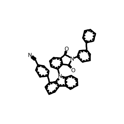 N#Cc1ccc(-c2cccc3c4ccccc4n(-c4cccc5c4C(=O)N(c4cccc(-c6ccccc6)c4)C5=O)c23)cc1